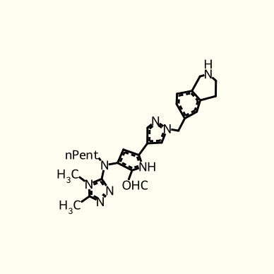 CCCCCN(c1cc(-c2cnn(Cc3ccc4c(c3)CCNC4)c2)[nH]c1C=O)c1nnc(C)n1C